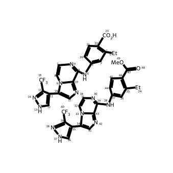 CCc1cc(Nc2nccn3c(-c4c[nH]nc4C(F)(F)F)cnc23)ccc1C(=O)O.CCc1cc(Nc2nccn3c(-c4c[nH]nc4C(F)(F)F)cnc23)ccc1C(=O)OC